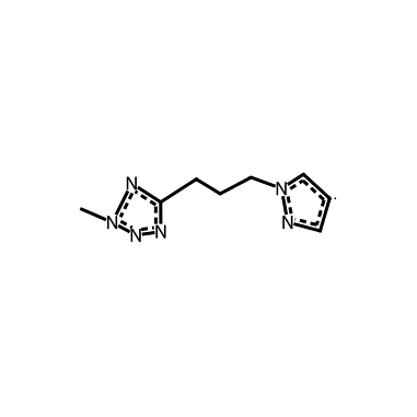 Cn1nnc(CCCn2c[c]cn2)n1